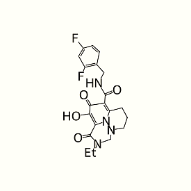 CCN1CN2CCCc3c(C(=O)NCc4ccc(F)cc4F)c(=O)c(O)c(n32)C1=O